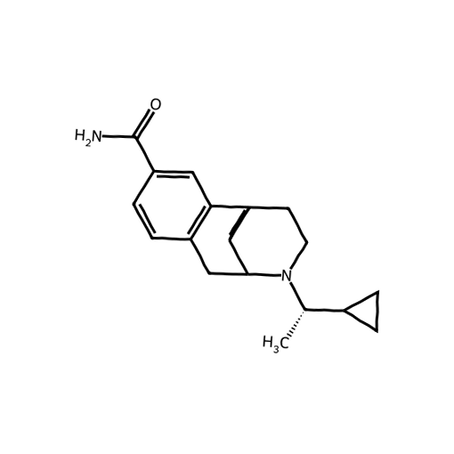 C[C@@H](C1CC1)N1CCC23CCCCC2C1Cc1ccc(C(N)=O)cc13